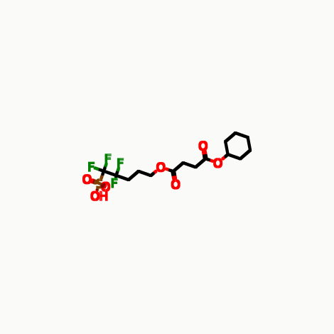 O=C(CCC(=O)OC1CCCCC1)OCCCC(F)(F)C(F)(F)S(=O)(=O)O